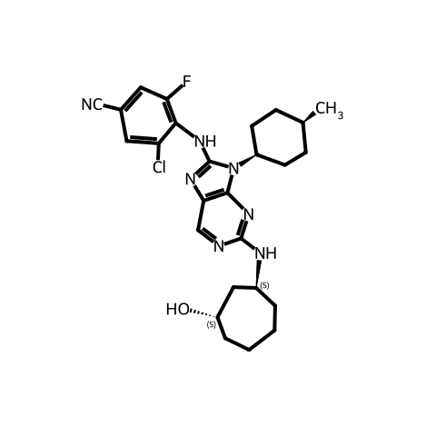 C[C@H]1CC[C@@H](n2c(Nc3c(F)cc(C#N)cc3Cl)nc3cnc(N[C@H]4CCCC[C@H](O)C4)nc32)CC1